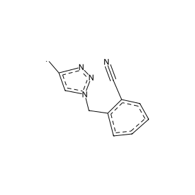 [CH2]c1cn(Cc2ccccc2C#N)nn1